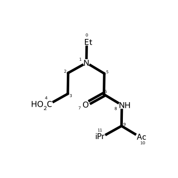 CCN(CCC(=O)O)CC(=O)NC(C(C)=O)C(C)C